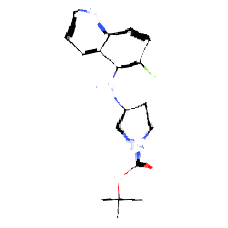 CC(C)(C)OC(=O)N1CCC(Nc2c(F)ccc3ncccc23)C1